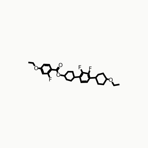 CCOc1ccc(C(=O)OC2CCC(c3ccc(C4CCC(OCC)CC4)c(F)c3F)CC2)c(F)c1